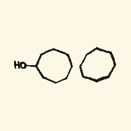 C1CCCCCCC1.OC1CCCCCCC1